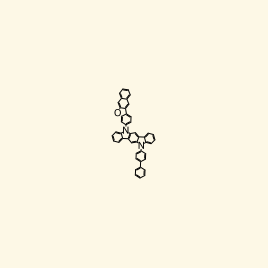 c1ccc(-c2ccc(-n3c4ccccc4c4cc5c(cc43)c3ccccc3n5-c3ccc4c(c3)oc3cc5ccccc5cc34)cc2)cc1